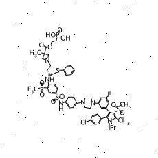 Cc1c(S(C)(=O)=O)c(-c2cc(F)cc(N3CCN(c4ccc(NS(=O)(=O)c5ccc(N[C@H](CCN6CC(C)(C(=O)OCCP(=O)(O)O)C6)CSc6ccccc6)c(S(=O)(=O)C(F)(F)F)c5)cc4)CC3)c2)c(-c2ccc(Cl)cc2)n1C(C)C